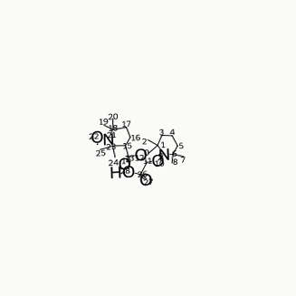 CC1(C)CCCC(C)(C)N1OC(OC(=O)C1CCC(C)(C)N([O])C1(C)C)C(=O)O